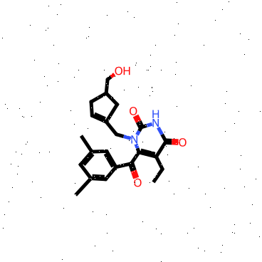 CCc1c(C(=O)c2cc(C)cc(C)c2)n(CC2=CCC(CO)C2)c(=O)[nH]c1=O